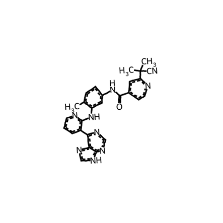 Cc1ccc(NC(=O)c2ccnc(C(C)(C)C#N)c2)cc1Nc1ncccc1-c1ncnc2[nH]cnc12